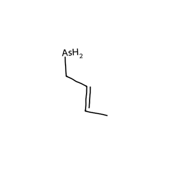 CC=CC[AsH2]